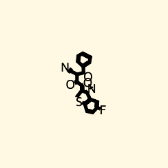 N#CC(C(=O)c1ccccc1)C(=O)c1onc2c1CSc1ccc(F)cc1-2